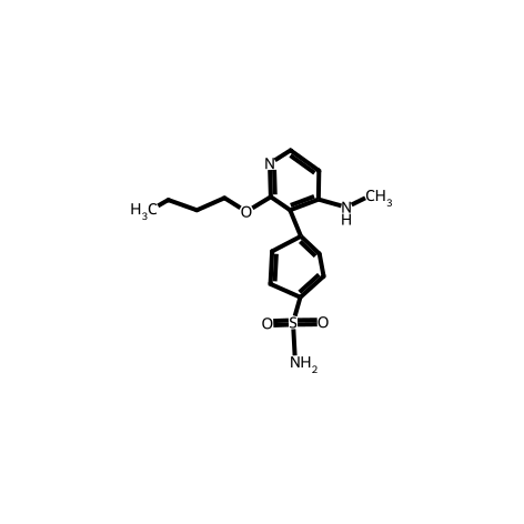 CCCCOc1nccc(NC)c1-c1ccc(S(N)(=O)=O)cc1